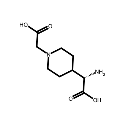 N[C@H](C(=O)O)C1CCN(CC(=O)O)CC1